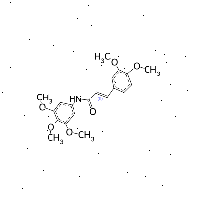 COc1ccc(/C=C/C(=O)Nc2cc(OC)c(OC)c(OC)c2)cc1OC